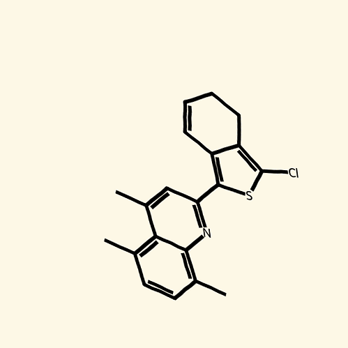 Cc1ccc(C)c2c(C)cc(-c3sc(Cl)c4c3C=CCC4)nc12